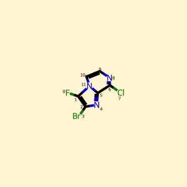 Fc1c(Br)nc2c(Cl)nccn12